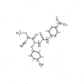 CCN(C#N)C(=O)C(Cc1ccc(O)cc1)NC(=O)Nc1ccc([N+](=O)[O-])cc1